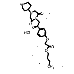 CCCCOC(=O)COc1ccc(C(=O)CN2C(=O)CN(C3CCNCC3)CC2=O)cc1.Cl